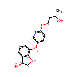 C[C@H](O)CCOc1ccc(Oc2cccc3c2OC[C@H]3O)cn1